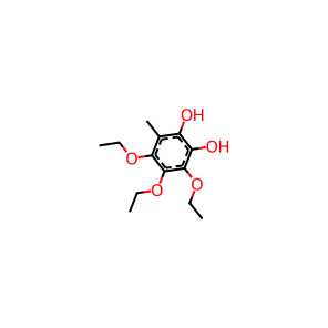 CCOc1c(C)c(O)c(O)c(OCC)c1OCC